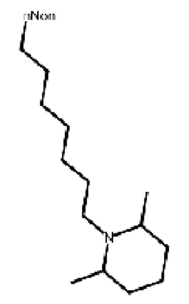 CCCCCCCCCCCCCCCCN1C(C)CCCC1C